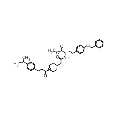 COC(=O)[C@H](CCc1ccc(OCc2ccccc2)cc1)NC(=O)CC1CCN(C(=O)CCc2ccc(C(C)C)cc2)CC1